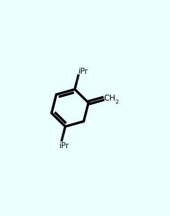 C=C1CC(C(C)C)=CC=C1C(C)C